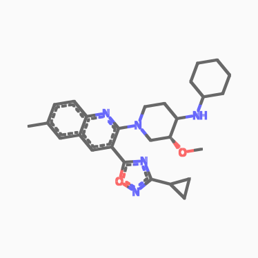 CO[C@H]1CN(c2nc3ccc(C)cc3cc2-c2nc(C3CC3)no2)CCC1NC1CCCCC1